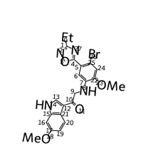 CCc1noc(-c2cc(NCC(=O)c3c[nH]c4cc(OC)ccc34)c(OC)cc2Br)n1